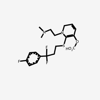 CN(C)CCN1CC=CC(OC(=O)O)=C1SCCC(F)(F)c1ccc(F)cc1